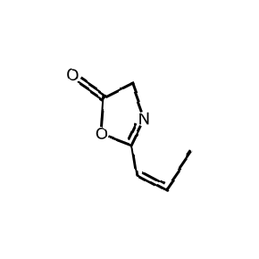 C/C=C\C1=NCC(=O)O1